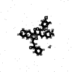 Cc1cc(NC(=O)C(CC2CC[N+](C)(C)CC2)NC(=O)C2Cc3ccccc3CN2C(=O)CCC(=O)c2ccccc2)ccc1Cl.[I-]